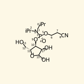 CC(C)N(C(C)C)P(=O)(OCCC#N)O[C@@H]1[C@@H](CO)OC(O)[C@@H]1O